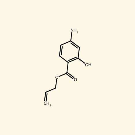 C=CCOC(=O)c1ccc(N)cc1O